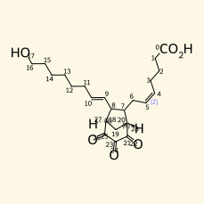 O=C(O)CCC/C=C\CC1C(C=CCCCCCCO)[C@H]2C[C@H]1C(=O)C(=O)C2=O